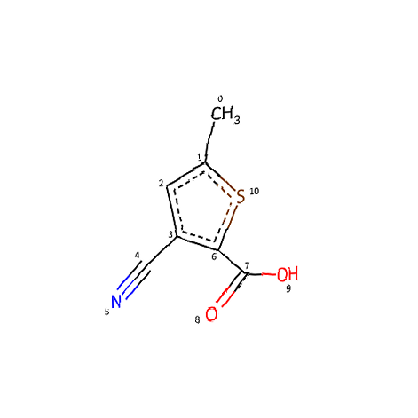 Cc1cc(C#N)c(C(=O)O)s1